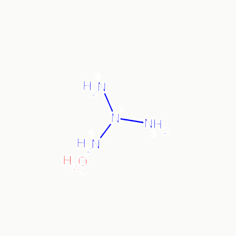 NN(N)N.O